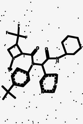 CC(C)(C)c1ccc(N(C(=O)C2C(C(F)(F)F)CN2C#N)C(C(=O)NC2CCCCC2)c2cccnc2)cc1